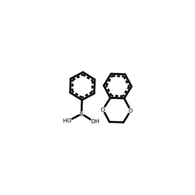 OB(O)c1ccccc1.c1ccc2c(c1)OCCO2